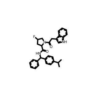 CC(C)c1ccc(C(NC(=O)C2CC(F)CN2C(=O)Cc2c[nH]c3ccccc23)c2ccccc2)cc1